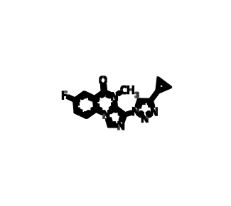 Cn1c(=O)c2cc(F)ccc2n2cnc(-n3cc(C4CC4)nn3)c12